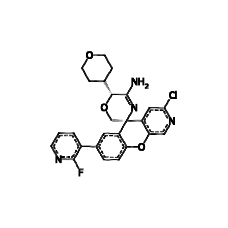 NC1=N[C@]2(CO[C@@H]1C1CCOCC1)c1cc(-c3cccnc3F)ccc1Oc1cnc(Cl)cc12